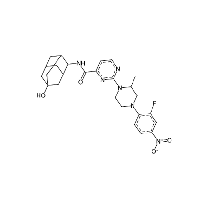 CC1CN(c2ccc([N+](=O)[O-])cc2F)CCN1c1nccc(C(=O)NC2C3CC4CC2CC(O)(C4)C3)n1